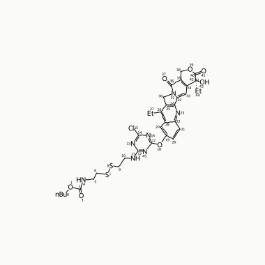 CCCCOC(=O)NCCSSCCNc1nc(Cl)nc(Oc2ccc3nc4c(c(CC)c3c2)Cn2c-4cc3c(c2=O)COC(=O)[C@]3(O)CC)n1